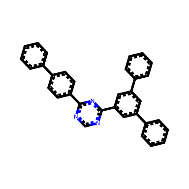 c1ccc(-c2ccc(-c3ncnc(-c4cc(-c5ccccc5)cc(-c5ccccc5)c4)n3)cc2)cc1